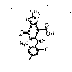 Cc1nc2c(=O)n(C)c(Nc3ccc(I)cc3F)c(C(=O)O)c2s1